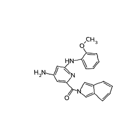 COc1ccccc1Nc1cc(N)cc(C(=O)n2cc3ccccc3c2)n1